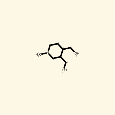 CN1CCC(CO)C(CO)C1